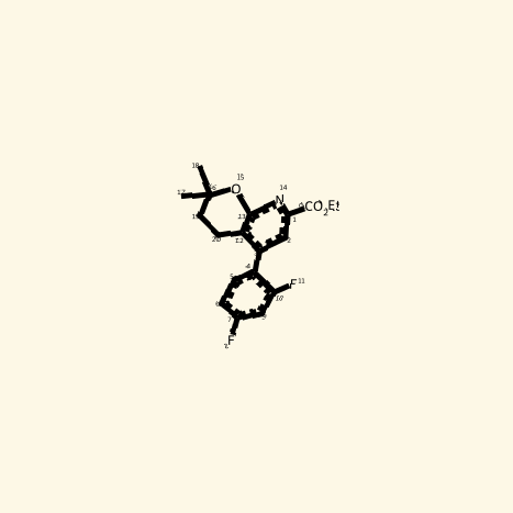 CCOC(=O)c1cc(-c2ccc(F)cc2F)c2c(n1)OC(C)(C)CC2